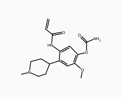 C=CC(=O)Nc1cc(OC(N)=O)c(OC)cc1C1CCN(C)CC1